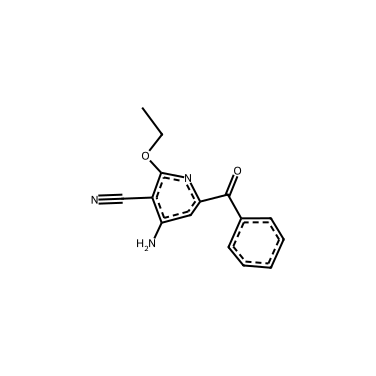 CCOc1nc(C(=O)c2ccccc2)cc(N)c1C#N